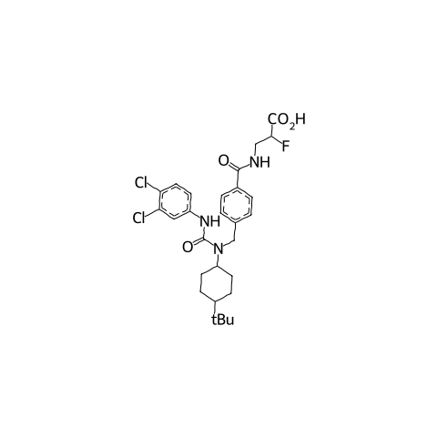 CC(C)(C)C1CCC(N(Cc2ccc(C(=O)NCC(F)C(=O)O)cc2)C(=O)Nc2ccc(Cl)c(Cl)c2)CC1